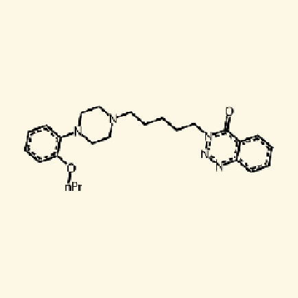 CCCOc1ccccc1N1CCN(CCCCCn2nnc3ccccc3c2=O)CC1